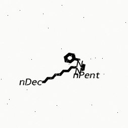 CCCCCCCCCCCCCCCCCCC1N(CCCCC)C=CN1Cc1ccccc1